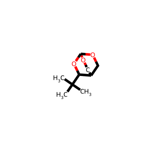 CC(C)(C)C1OC2OCC1CO2